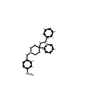 CC(=O)Nc1ccc(CN2CCC(CCc3ccccc3)(c3ccccn3)CC2)cc1